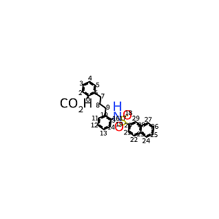 O=C(O)c1ccccc1CCCc1ccccc1NS(=O)(=O)c1ccc2ccccc2c1